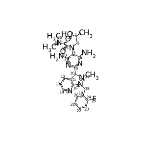 CC(O)CN(c1c(N)nc(C2c3cccnc3N(Cc3ccccc3F)N2C)nc1N)S(=O)(=O)N(C)C